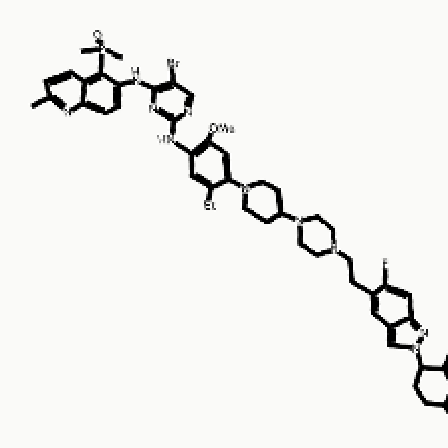 CCc1cc(Nc2ncc(Br)c(Nc3ccc4nc(C)ccc4c3P(C)(C)=O)n2)c(OC)cc1N1CCC(N2CCN(CCc3cc4cn(C5CCC(=O)NC5=O)nc4cc3F)CC2)CC1